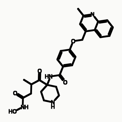 Cc1cc(COc2ccc(C(=O)NC3(C(=O)C(C)CC(=O)NO)CCNCC3)cc2)c2ccccc2n1